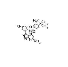 CC(C)(C)c1ccc(S(=O)(=O)Nc2ccc(Cl)cc2-n2nnc3nc(N)ccc32)cc1